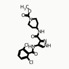 COC(=O)N1CCC(NC(=O)c2n[nH]cc2NC(=O)c2c(Cl)cccc2Cl)CC1